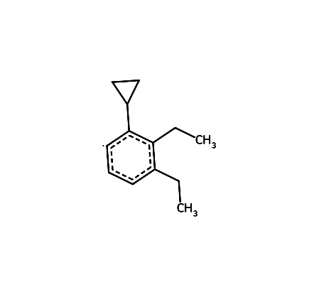 CCc1cc[c]c(C2CC2)c1CC